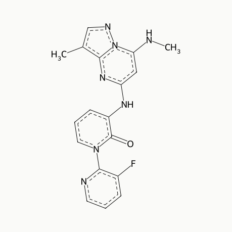 CNc1cc(Nc2cccn(-c3ncccc3F)c2=O)nc2c(C)cnn12